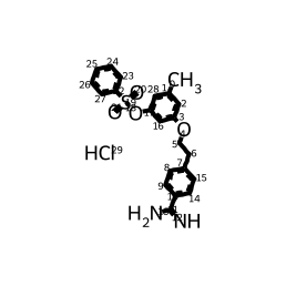 Cc1cc(OCCc2ccc(C(=N)N)cc2)cc(OS(=O)(=O)c2ccccc2)c1.Cl